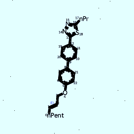 CCCCC/C=C/COc1ccc(-c2ccc(-c3nnc(CCC)s3)cc2)cc1